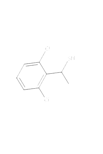 CC(S)c1c(Cl)cccc1Cl